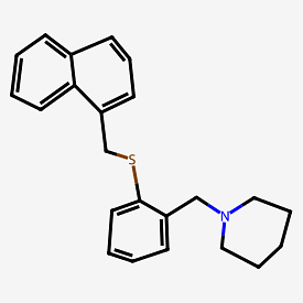 c1ccc(SCc2cccc3ccccc23)c(CN2CCCCC2)c1